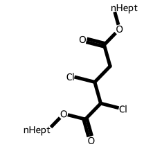 CCCCCCCOC(=O)CC(Cl)C(Cl)C(=O)OCCCCCCC